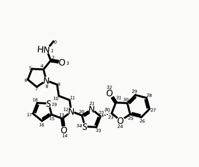 CNC(=O)C1CCCN1CCCN(C(=O)c1cccs1)c1nc([C@H]2Oc3ccccc3C2=O)cs1